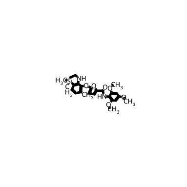 COc1cc(OC)c(NC(=O)c2ccc(Oc3c(C)ccc4c3NCC[Si]4(C)C)o2)c(OC)c1